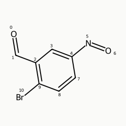 O=Cc1cc(N=O)ccc1Br